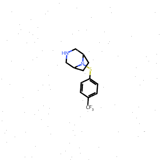 FC(F)(F)c1ccc(SN2C3CCC2CNC3)cc1